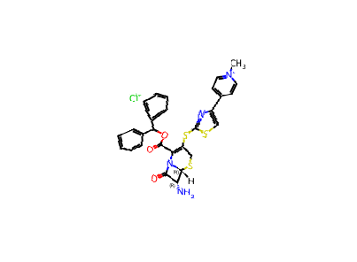 C[n+]1ccc(-c2csc(SC3=C(C(=O)OC(c4ccccc4)c4ccccc4)N4C(=O)[C@@H](N)[C@H]4SC3)n2)cc1.[Cl-]